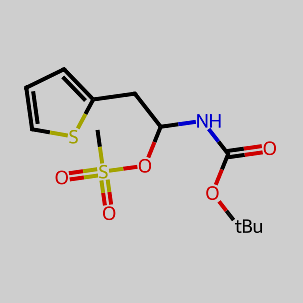 CC(C)(C)OC(=O)NC(Cc1cccs1)OS(C)(=O)=O